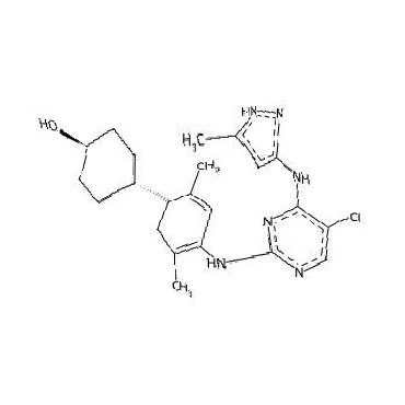 CC1=CC(Nc2ncc(Cl)c(Nc3cc(C)[nH]n3)n2)=C(C)CC1[C@H]1CC[C@H](O)CC1